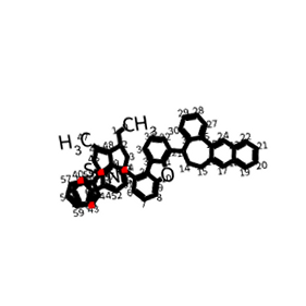 CCC1CC(c2cccc3oc4c(C5CCc6cc7ccccc7cc6-c6ccccc65)cccc4c23)/N=C(/c2ccccc2)C/C(C)=C/1c1cccc2c1sc1ccccc12